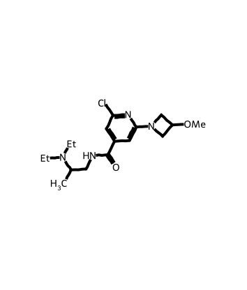 CCN(CC)C(C)CNC(=O)c1cc(Cl)nc(N2CC(OC)C2)c1